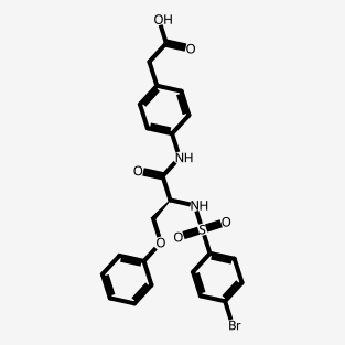 O=C(O)Cc1ccc(NC(=O)[C@H](COc2ccccc2)NS(=O)(=O)c2ccc(Br)cc2)cc1